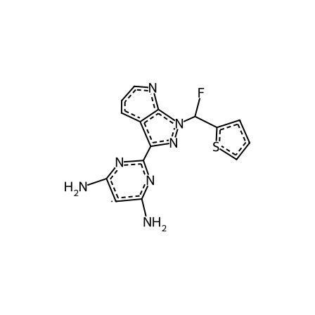 Nc1[c]c(N)nc(-c2nn(C(F)c3cccs3)c3ncccc23)n1